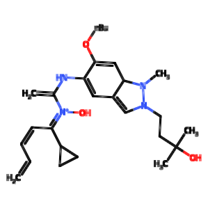 C=C/C=C\C(C1CC1)=[N+](\O)C(=C)NC1=CC2=CN(CCC(C)(C)O)N(C)C2C=C1OCCCC